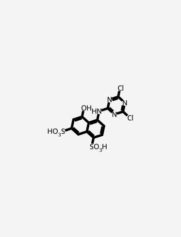 O=S(=O)(O)c1cc(O)c2c(Nc3nc(Cl)nc(Cl)n3)ccc(S(=O)(=O)O)c2c1